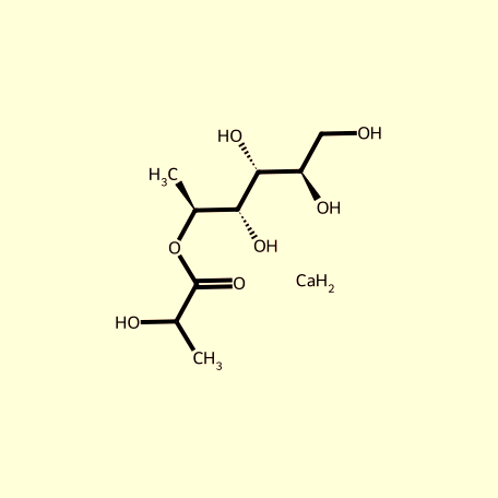 CC(O)C(=O)O[C@@H](C)[C@@H](O)[C@H](O)[C@H](O)CO.[CaH2]